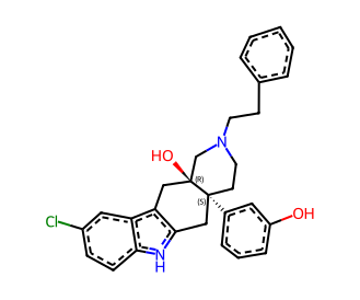 Oc1cccc([C@@]23CCN(CCc4ccccc4)C[C@@]2(O)Cc2c([nH]c4ccc(Cl)cc24)C3)c1